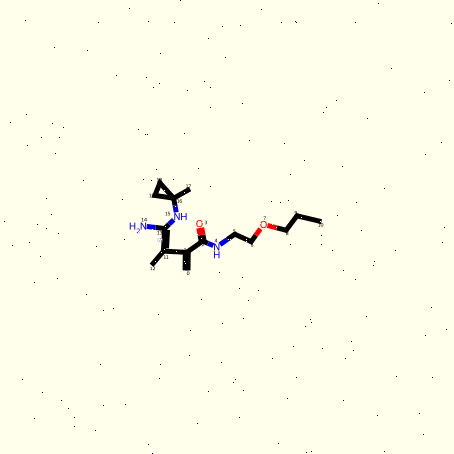 C=C(C(=O)NCCOCCC)/C(C)=C(/N)NC1(C)CC1